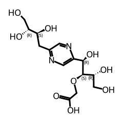 O=C(O)CO[C@H]([C@H](O)CO)[C@H](O)c1cnc(C[C@H](O)[C@H](O)CO)cn1